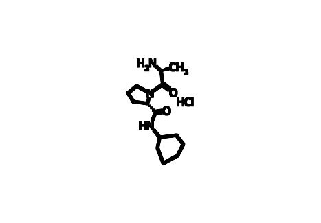 C[C@H](N)C(=O)N1CCC[C@H]1C(=O)NC1CCCCC1.Cl